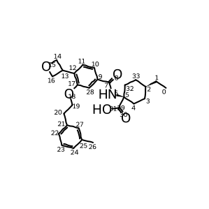 CC[C@H]1CC[C@](NC(=O)c2ccc(C3COC3)c(OCCc3cccc(C)c3)c2)(C(=O)O)CC1